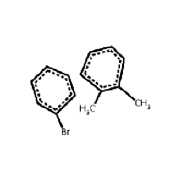 Brc1ccccc1.Cc1ccccc1C